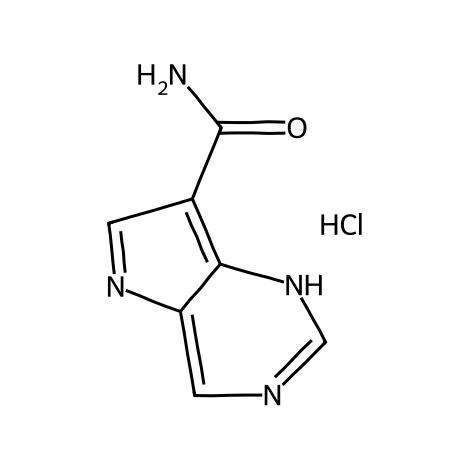 Cl.NC(=O)c1cnc2cnc[nH]c1-2